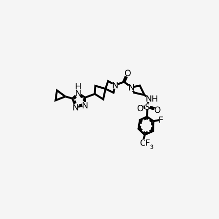 O=C(N1CC(NS(=O)(=O)c2ccc(C(F)(F)F)cc2F)C1)N1CC2(CC(c3nnc(C4CC4)[nH]3)C2)C1